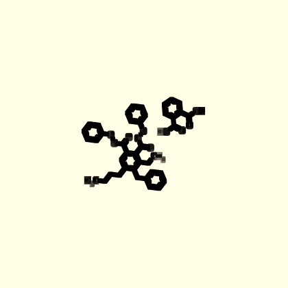 CCCCc1cc(C(=O)OOc2ccccc2)c(C(=O)OOc2ccccc2)c(CC)c1Cc1ccccc1.O=C(O)c1ccccc1C(=O)O